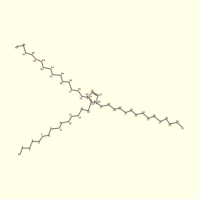 CCCCCCCCCCCCCCCc1n(CCCCCCCCCCCCCCC)cc[n+]1CCCCCCCCCCCCCCC